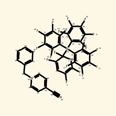 FC1=CC(F)=C(F)NC1(F)[B-](c1c(F)c(F)c(F)c(F)c1F)(c1c(F)c(F)c(F)c(F)c1F)c1c(F)c(F)c(F)c(F)c1F.N#Cc1cc[n+](Cc2ccccc2)cc1